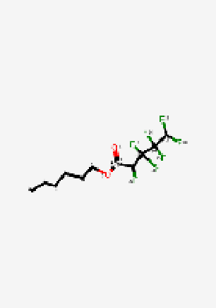 CCCCCC[O][Sn](=[O])[CH](F)C(F)(F)C(F)(F)C(F)F